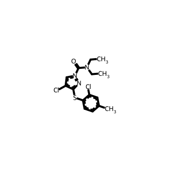 CCN(CC)C(=O)n1cc(Cl)c(Sc2ccc(C)cc2Cl)n1